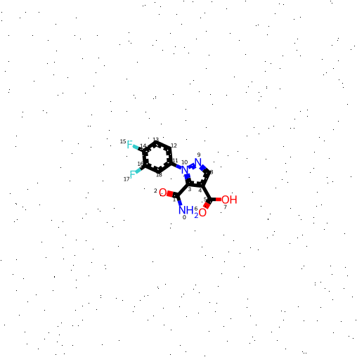 NC(=O)c1c(C(=O)O)cnn1-c1ccc(F)c(F)c1